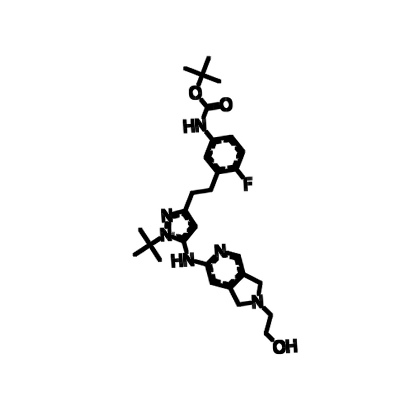 CC(C)(C)OC(=O)Nc1ccc(F)c(CCc2cc(Nc3cc4c(cn3)CN(CCO)C4)n(C(C)(C)C)n2)c1